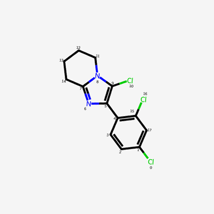 Clc1ccc(-c2nc3n(c2Cl)CCCC3)c(Cl)c1